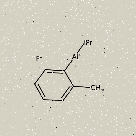 Cc1cccc[c]1[Al+][CH](C)C.[F-]